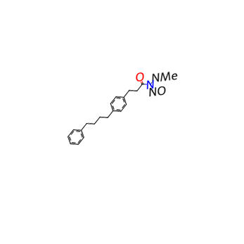 CNN(N=O)C(=O)CCc1ccc(CCCCc2ccccc2)cc1